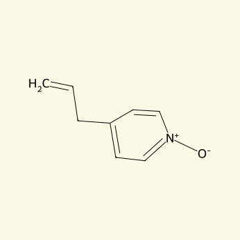 C=CCc1cc[n+]([O-])cc1